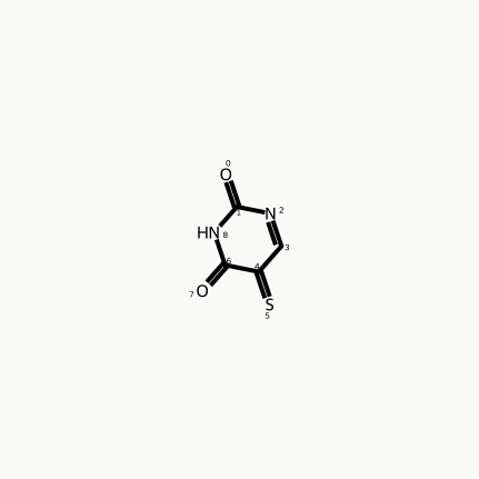 O=C1N=CC(=S)C(=O)N1